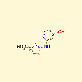 O=C(O)[C@@H]1CSC(Nc2cc(O)ccn2)=N1